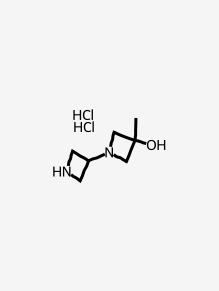 CC1(O)CN(C2CNC2)C1.Cl.Cl